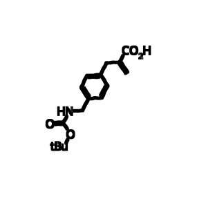 C=C(Cc1ccc(CNC(=O)OC(C)(C)C)cc1)C(=O)O